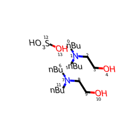 CCCCN(CCO)CCCC.CCCCN(CCO)CCCC.O=S(=O)(O)O